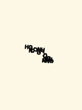 O=C(Nc1ccc2c(O)nccc2c1)[C@@H]1CC1c1ccc(S(=O)(=O)Nc2ccccn2)cc1